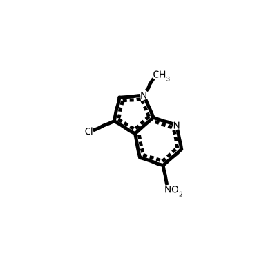 Cn1cc(Cl)c2cc([N+](=O)[O-])cnc21